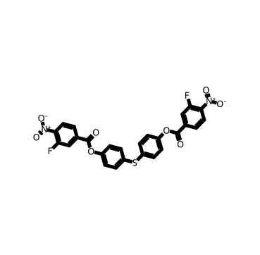 O=C(Oc1ccc(Sc2ccc(OC(=O)c3ccc([N+](=O)[O-])c(F)c3)cc2)cc1)c1ccc([N+](=O)[O-])c(F)c1